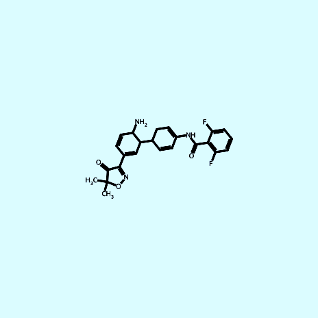 CC1(C)ON=C(C2=CC(C3C=CC(NC(=O)c4c(F)cccc4F)=CC3)C(N)C=C2)C1=O